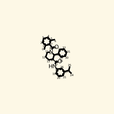 Cc1cccc(C)c1C(=O)N1CCC[C@H](C(=O)Nc2cccc(C(C)C)c2)C1c1ccccc1